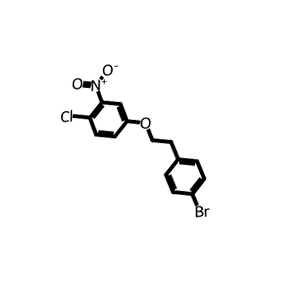 O=[N+]([O-])c1cc(OCCc2ccc(Br)cc2)ccc1Cl